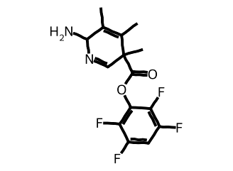 CC1=C(C)C(C)(C(=O)Oc2c(F)c(F)cc(F)c2F)C=NC1N